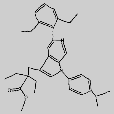 CCc1cccc(CC)c1-c1cc2c(CC(CC)(CC)C(=O)OC)cn(-c3ccc(C(C)C)cc3)c2cn1